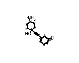 N[C@H]1CC[C@](O)(C#Cc2cccc(Cl)c2)CC1